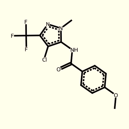 COc1ccc(C(=O)Nc2c(Cl)c(C(F)(F)F)nn2C)cc1